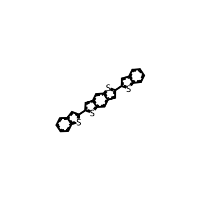 c1ccc2sc(-c3cc4cc5sc(-c6cc7ccccc7s6)cc5cc4s3)cc2c1